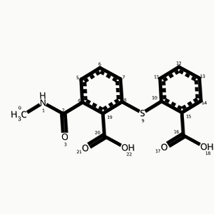 CNC(=O)c1cccc(Sc2ccccc2C(=O)O)c1C(=O)O